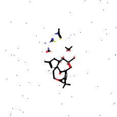 CC1=C[C@]23C(=O)[C@@H](C=C4COC(C)(C)O[C@H]4[C@]2(O)[C@H]1OC(=O)N(C)c1nc(C)cs1)[C@H]1[C@@H](C[C@H]3C)C1(C)C